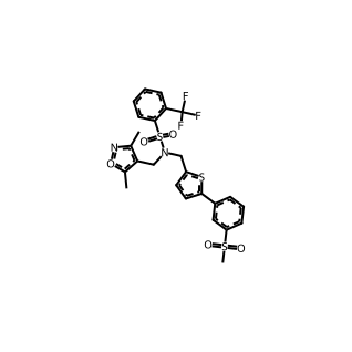 Cc1noc(C)c1CN(Cc1ccc(-c2cccc(S(C)(=O)=O)c2)s1)S(=O)(=O)c1ccccc1C(F)(F)F